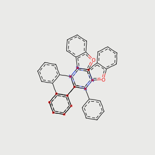 c1ccc(-c2nc3oc4ccccc4c3nc2-c2ccccc2-c2ccccc2-c2nc3c(nc2-c2ccccc2)oc2ccccc23)cc1